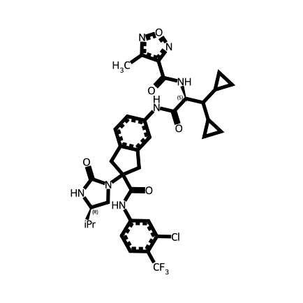 Cc1nonc1C(=O)N[C@H](C(=O)Nc1ccc2c(c1)CC(C(=O)Nc1ccc(C(F)(F)F)c(Cl)c1)(N1C[C@@H](C(C)C)NC1=O)C2)C(C1CC1)C1CC1